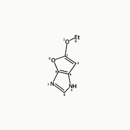 CCOc1cc2[nH]cnc2o1